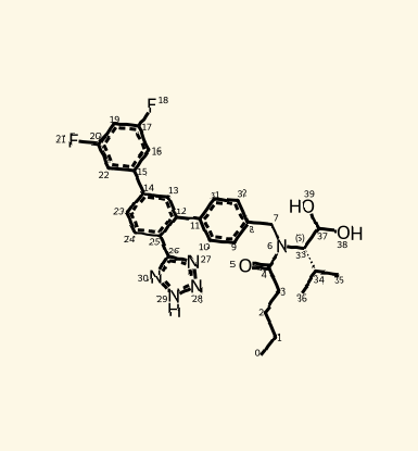 CCCCC(=O)N(Cc1ccc(-c2cc(-c3cc(F)cc(F)c3)ccc2-c2nn[nH]n2)cc1)[C@@H](C(C)C)C(O)O